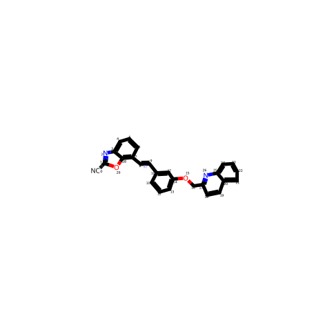 N#Cc1nc2cccc(/C=C/c3cccc(OCc4ccc5ccccc5n4)c3)c2o1